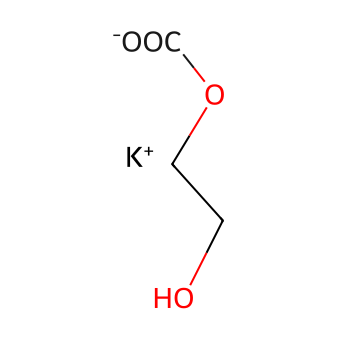 O=C([O-])OCCO.[K+]